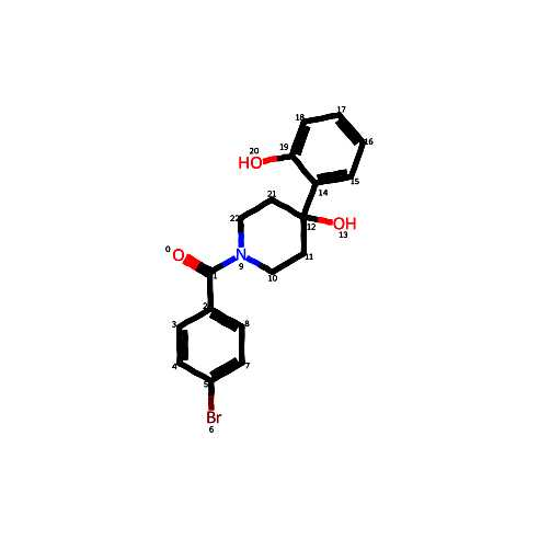 O=C(c1ccc(Br)cc1)N1CCC(O)(c2ccccc2O)CC1